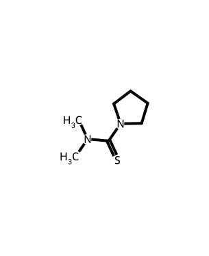 CN(C)C(=S)N1CCCC1